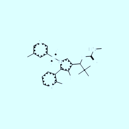 CNC(=O)OC(c1cn(S(=O)(=O)c2cncc(C)c2)c(-c2cccnc2F)c1F)C(C)(C)C